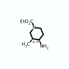 CCOC(=O)N1CC[C@@H](N)[C@@H](C)C1